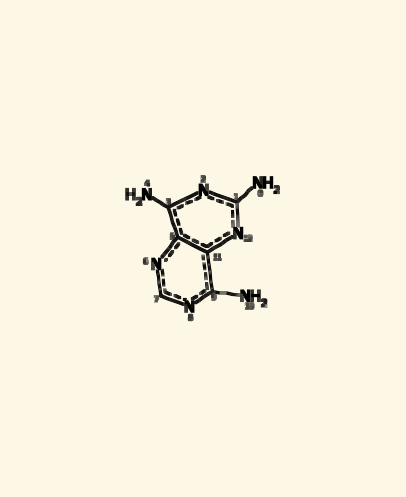 Nc1nc(N)c2ncnc(N)c2n1